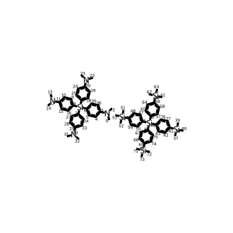 CN(C)c1ccc([Si](c2ccc(N(C)C)cc2)(c2ccc(N(C)C)cc2)c2ccc(N(C)C)cc2)cc1.C[Si](C)(C)c1ccc([Si](c2ccc([Si](C)(C)C)cc2)(c2ccc([Si](C)(C)C)cc2)c2ccc([Si](C)(C)C)cc2)cc1